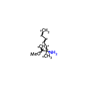 C=C/C=C/CC(C)(N)C(=C)OC